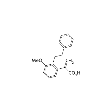 C=C(C(=O)O)c1cccc(OC)c1CCc1ccccc1